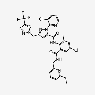 CCc1cccc(CNC(=O)c2cc(Cl)cc(C)c2NC(=O)c2cc(Cn3nnc(C(F)(F)F)n3)nn2-c2ncccc2Cl)n1